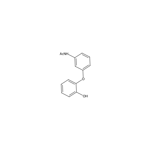 CC(=O)Nc1cccc(Oc2ccccc2O)c1